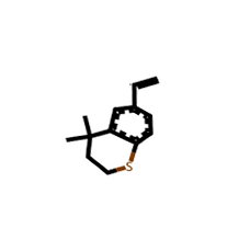 C=[C]c1ccc2c(c1)C(C)(C)CCS2